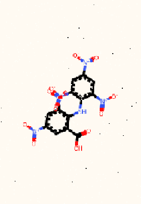 O=C(O)c1cc([N+](=O)[O-])cc([N+](=O)[O-])c1Nc1c([N+](=O)[O-])cc([N+](=O)[O-])cc1[N+](=O)[O-]